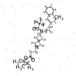 CCC(=Cc1ccccc1)C1C[C@@H]1N(C(=O)C(F)(F)F)C1CC2(C1)CN(CCC(=O)OC(C)(C)C)C2